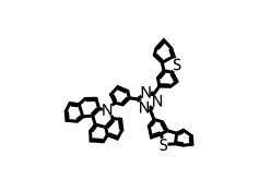 c1cc(-c2nc(-c3ccc4sc5ccccc5c4c3)nc(-c3ccc4sc5ccccc5c4c3)n2)cc(N2c3ccc4ccccc4c3-c3cccc4cccc2c34)c1